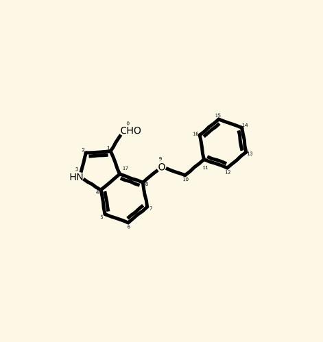 O=Cc1c[nH]c2cccc(OCc3ccccc3)c12